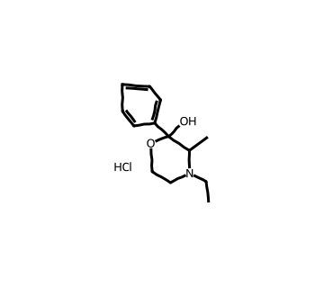 CCN1CCOC(O)(c2ccccc2)C1C.Cl